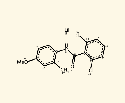 COc1ccc(PC(=O)c2c(Cl)cccc2Cl)c(C)c1.[LiH]